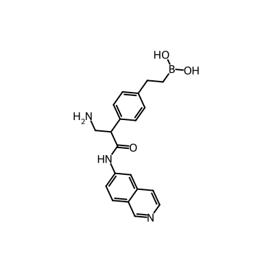 NCC(C(=O)Nc1ccc2cnccc2c1)c1ccc(CCB(O)O)cc1